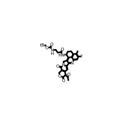 Cc1c(F)cc2nc3c(c4c2c1CC[C@@H]4NC(=O)CCNC(=O)OC(C)(C)C)Cn1c-3cc2c(c1=O)COC(=O)[C@@]21OC1C